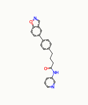 O=C(CCCc1ccc(-c2ccc3oncc3c2)cc1)Nc1cccnc1